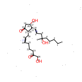 CCCCCC(C)(O)C/C=C/[C@H]1[C@H](O)CC(=O)[C@@H]1C/C=C\CCCC(=O)CO